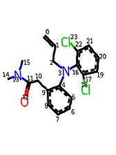 C=CCN(c1ccccc1CC(=O)N(C)C)c1c(Cl)cccc1Cl